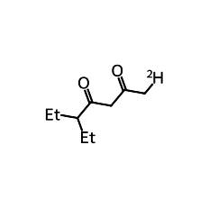 [2H]CC(=O)CC(=O)C(CC)CC